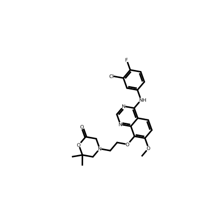 COc1ccc2c(Nc3ccc(F)c(Cl)c3)ncnc2c1OCCN1CC(=O)OC(C)(C)C1